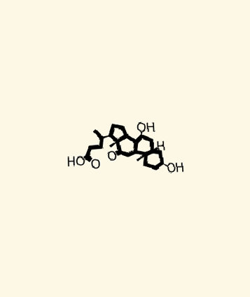 CC(CCC(=O)O)[C@H]1CCC2C3C(CC(=O)[C@@]21C)[C@@]1(C)CC[C@@H](O)C[C@H]1C[C@H]3O